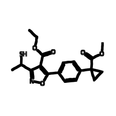 CCOC(=O)c1c(C(C)S)noc1-c1ccc(C2(C(=O)OC)CC2)cc1